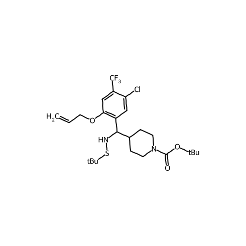 C=CCOc1cc(C(F)(F)F)c(Cl)cc1C(NSC(C)(C)C)C1CCN(C(=O)OC(C)(C)C)CC1